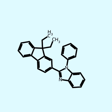 CCC1(CC)c2ccccc2-c2ccc(-c3nc4ccccc4n3-c3ccccc3)cc21